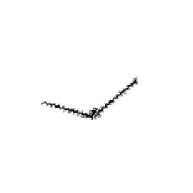 CCCCCCCCCCCCCCCCCCCCCC(C)O[PH](=O)OC(C)CCCCCCCCCCCCCCCCCCCCC